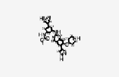 COC(=O)Nc1cc(Nc2ncc3cc(-c4cn[nH]c4)c(OC4CCNCC4)cc3n2)cc(-c2cn[nH]c2)c1